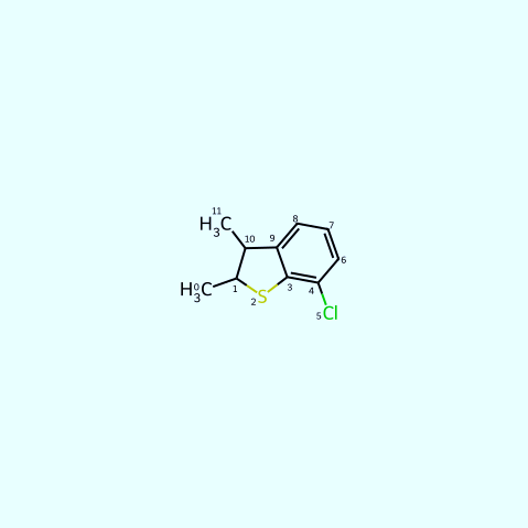 CC1Sc2c(Cl)cccc2C1C